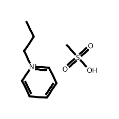 CCC[n+]1ccccc1.CS(=O)(=O)O